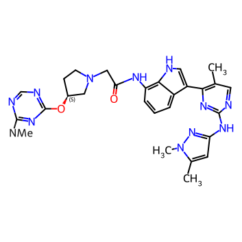 CNc1ncnc(O[C@H]2CCN(CC(=O)Nc3cccc4c(-c5nc(Nc6cc(C)n(C)n6)ncc5C)c[nH]c34)C2)n1